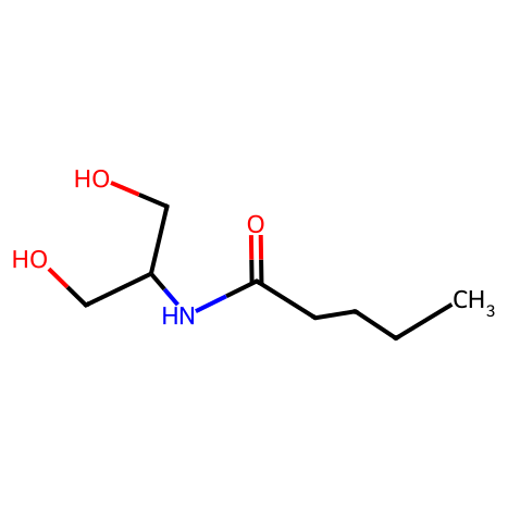 CCCCC(=O)NC(CO)CO